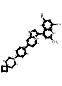 Cc1cc(-c2cnc3cc(-c4ccc(N5CCC6(CCC6)CC5)cc4)ccn23)c2cc(F)cc(F)c2n1